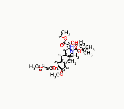 CCOC(=O)[C@H](O)[C@H](C[C@H](Cc1ccc(OC)c(OCCCOC)c1)C(C)C)NC(=O)OC(C)(C)C